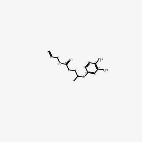 C=CCOC(=O)CCC(C)Oc1ccc(O)c(O)c1